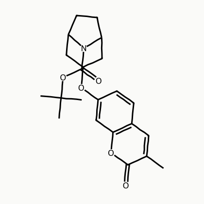 Cc1cc2ccc(OC3CC4CCC(C3)N4C(=O)OC(C)(C)C)cc2oc1=O